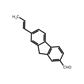 CC=Cc1ccc2c(c1)Cc1cc(C=O)ccc1-2